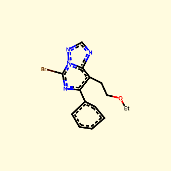 CCOCCc1c(-c2ccccc2)nc(Br)n2ncnc12